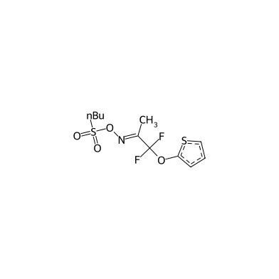 CCCCS(=O)(=O)ON=C(C)C(F)(F)Oc1cccs1